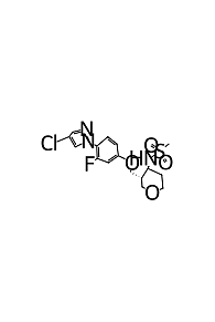 CS(=O)(=O)N[C@H]1CCOC[C@@H]1COc1ccc(-n2cc(Cl)cn2)c(F)c1